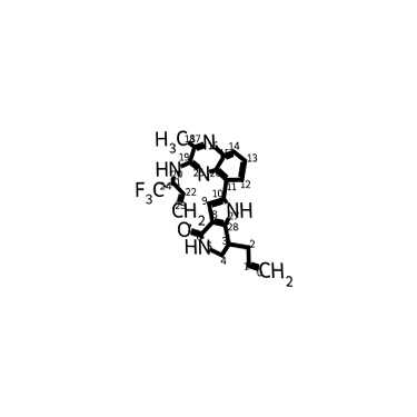 C=CCC1CNC(=O)c2cc(-c3cccc4nc(C)c(N[C@H](C=C)C(F)(F)F)nc34)[nH]c21